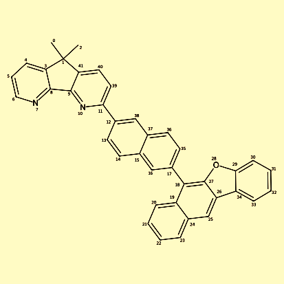 CC1(C)c2cccnc2-c2nc(-c3ccc4cc(-c5c6ccccc6cc6c5oc5ccccc56)ccc4c3)ccc21